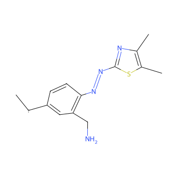 C[CH]c1ccc(N=Nc2nc(C)c(C)s2)c(CN)c1